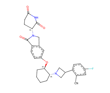 N#Cc1cc(F)ccc1C1CN([C@@H]2CCCC[C@H]2Oc2ccc3c(c2)CN([C@@H]2CCC(=O)NC2=O)C3=O)C1